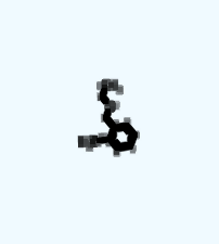 CCOCc1cccc[c]1[BiH2]